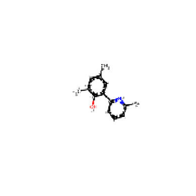 CC(=O)c1cccc(-c2cc(C)cc(C)c2O)n1